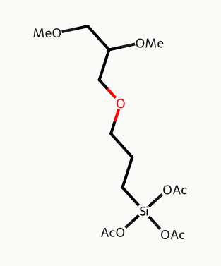 COCC(COCCC[Si](OC(C)=O)(OC(C)=O)OC(C)=O)OC